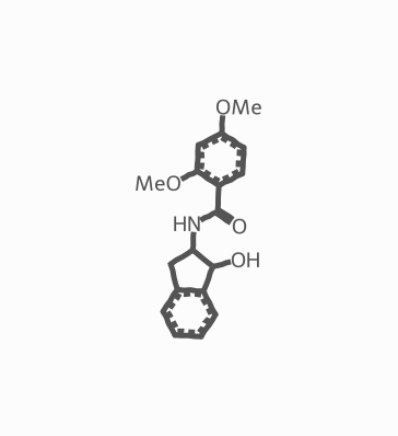 COc1ccc(C(=O)NC2Cc3ccccc3C2O)c(OC)c1